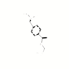 CC(C)(C)[N+]([O-])=Cc1ccc(C(=O)NCC(=O)O)cc1